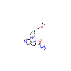 CC(C)OCCCC1CCN(c2cncc3ccc(C(N)=O)nc23)CC1